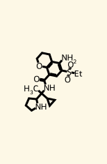 CCS(=O)(=O)c1cc(C(=O)NC(C)(C2CC2)C2CCCN2)c2c(c1N)CCCO2